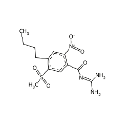 CCCCc1cc([N+](=O)[O-])c(C(=O)N=C(N)N)cc1S(C)(=O)=O